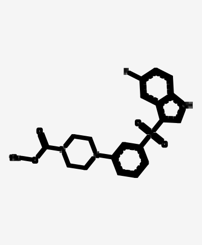 CC(C)(C)OC(=O)N1CCN(c2cccc(S(=O)(=O)c3c[nH]c4ccc(F)cc34)c2)CC1